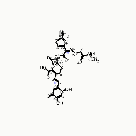 CNC(=O)CO/N=C(\C(=O)N[C@@H]1C(=O)N2C(C(=O)O)=C(/C=C/c3cc(=O)c(O)cn3O)CS[C@H]12)c1csc(N)n1